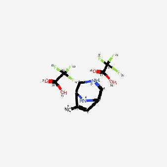 N#CC1=CC2CNCC1N2.O=C(O)C(F)(F)F.O=C(O)C(F)(F)F